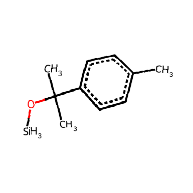 Cc1ccc(C(C)(C)O[SiH3])cc1